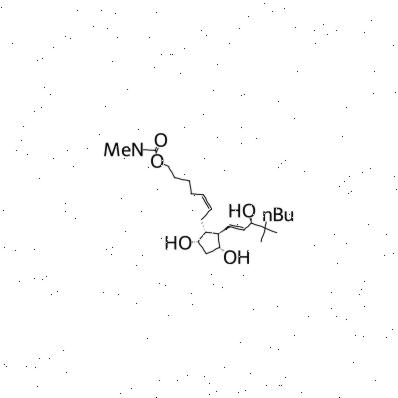 CCCCC(C)(C)[C@H](O)/C=C/[C@@H]1[C@@H](C/C=C\CCCCOC(=O)NC)[C@@H](O)C[C@H]1O